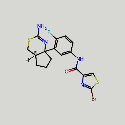 NC1=NC2(c3cc(NC(=O)c4csc(Br)n4)ccc3F)CCC[C@H]2CS1